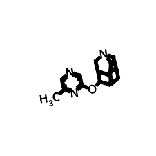 Cc1cncc(OC2C3CC4CC2CN(C4)C3)n1